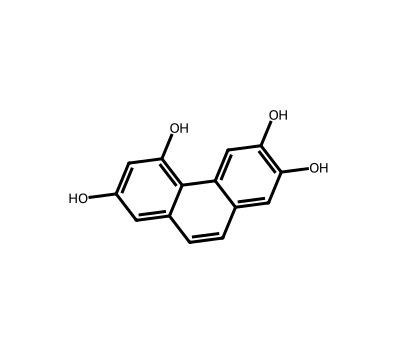 Oc1cc(O)c2c(ccc3cc(O)c(O)cc32)c1